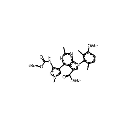 COC(=O)c1cn(-c2c(C)ccc(OC)c2C)c2nc(C)nc(-c3cn(C)nc3NC(=O)OC(C)(C)C)c12